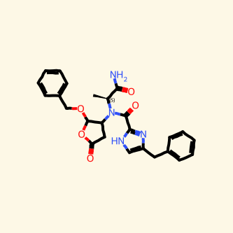 C[C@@H](C(N)=O)N(C(=O)c1nc(Cc2ccccc2)c[nH]1)C1CC(=O)OC1OCc1ccccc1